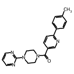 Cc1ccc(-c2ccc(C(=O)N3CCN(c4ncccn4)CC3)cn2)cc1